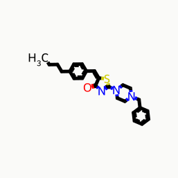 CCCCc1ccc(C=C2SC(N3CCN(Cc4ccccc4)CC3)=NC2=O)cc1